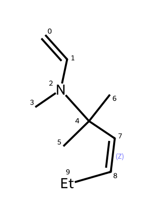 C=CN(C)C(C)(C)/C=C\CC